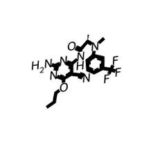 CCCOc1nc(N)nc(NC(=O)[C@H](C)N(C)c2cccc(C(F)(F)F)c2)c1C#N